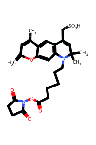 C=C1C=C(C(F)(F)F)c2cc3c(cc2O1)N(CCCCCC(=O)ON1C(=O)CCC1=O)C(C)(C)C=C3CS(=O)(=O)O